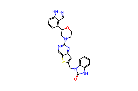 O=c1[nH]c2ccccc2n1Cc1cc2nc(N3CCOC(c4cccc5[nH]ncc45)C3)ncc2s1